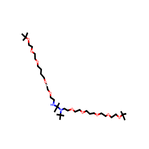 CC(C)(C)OCCOCCOCCCCOCCOCCNC(C)(C)N(CCOCCOCCCOCCOCCOC(C)(C)C)C(C)(C)C